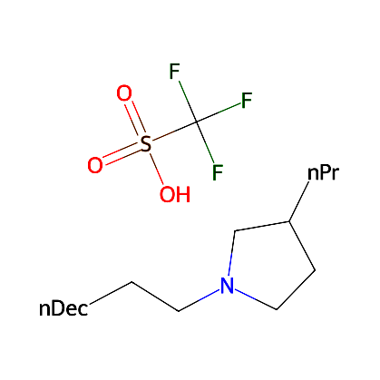 CCCCCCCCCCCCN1CCC(CCC)C1.O=S(=O)(O)C(F)(F)F